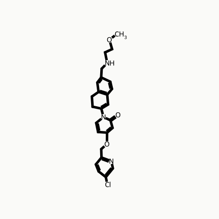 COCCNCc1ccc2c(c1)CCC(n1ccc(OCc3ccc(Cl)cn3)cc1=O)=C2